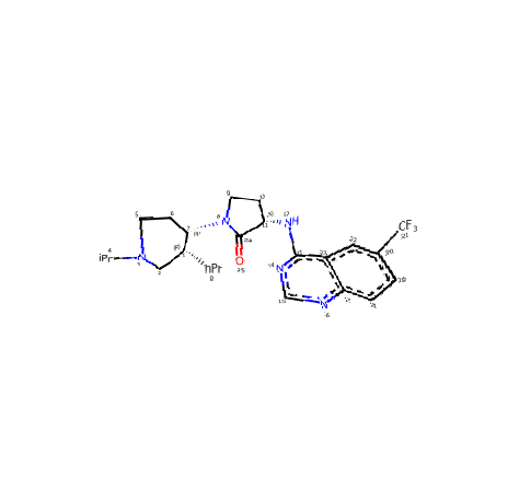 CCC[C@@H]1CN(C(C)C)CC[C@@H]1N1CC[C@H](Nc2ncnc3ccc(C(F)(F)F)cc23)C1=O